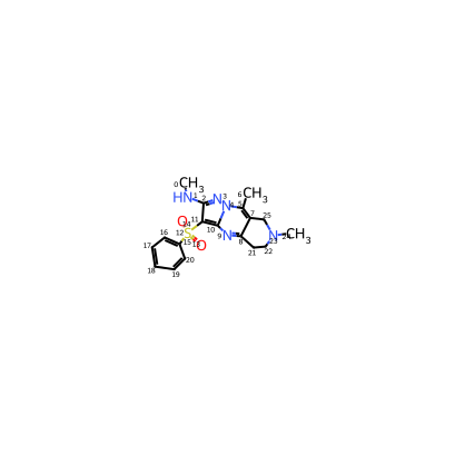 CNc1nn2c(C)c3c(nc2c1S(=O)(=O)c1ccccc1)CCN(C)C3